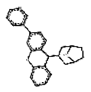 c1cncc(-c2ccc3c(c2)Oc2ccccc2C3C2CC3CCC(C2)N3)c1